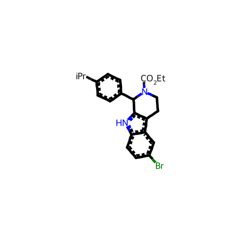 CCOC(=O)N1CCc2c([nH]c3ccc(Br)cc23)C1c1ccc(C(C)C)cc1